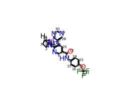 N[C@@H]1C2C[C@H]1CN2c1ncc(C(=O)Nc2ccc(OC(F)(F)F)cc2)cc1-c1cncnc1